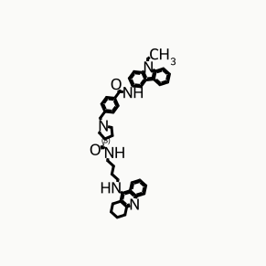 CCn1c2ccccc2c2cc(NC(=O)c3ccc(CN4CC[C@H](C(=O)NCCCCNc5c6c(nc7ccccc57)CCCC6)C4)cc3)ccc21